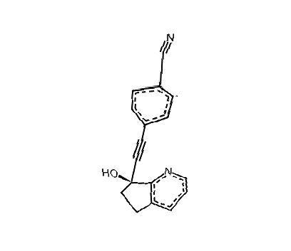 N#Cc1[c]cc(C#C[C@@]2(O)CCc3cccnc32)cc1